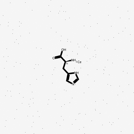 N[C@@H](Cc1cnc[nH]1)C(=O)O.[Ce]